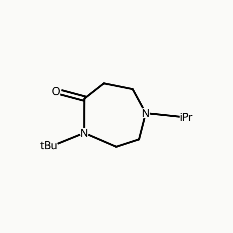 CC(C)N1CCC(=O)N(C(C)(C)C)CC1